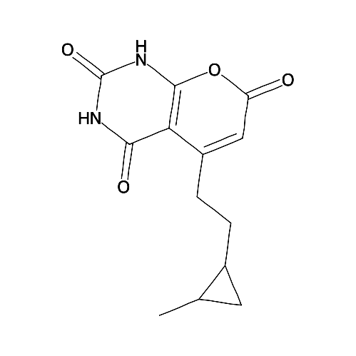 CC1CC1CCc1cc(=O)oc2[nH]c(=O)[nH]c(=O)c12